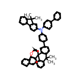 CC1(C)c2ccccc2-c2ccc(N(c3ccc(-c4ccccc4)cc3)c3ccc(-c4ccc5c(c4)C4(c6ccccc6Oc6c4ccc4ccccc64)c4ccccc4C5(C)C)cc3)cc21